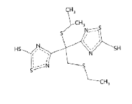 CCSCC(SC(C)C)(c1nsc(S)n1)c1nsc(S)n1